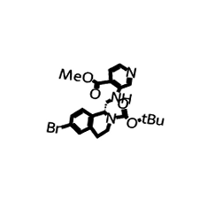 COC(=O)c1ccncc1NC[C@H]1c2ccc(Br)cc2CCN1C(=O)OC(C)(C)C